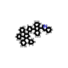 c1ccc(-c2cc(-c3cccc(-c4c5ccccc5c(-c5cnc6ccccc6c5)c5ccccc45)c3)c(-c3ccccc3)c(-c3ccccc3)c2-c2ccccc2)cc1